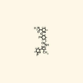 Cc1sc(NC(=O)Cc2ccc(Oc3ncccc3C(N)=O)c(F)c2)nc1-c1cccc(F)n1